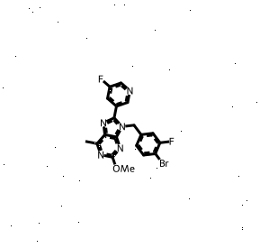 COc1nc(C)c2nc(-c3cncc(F)c3)n(Cc3ccc(Br)c(F)c3)c2n1